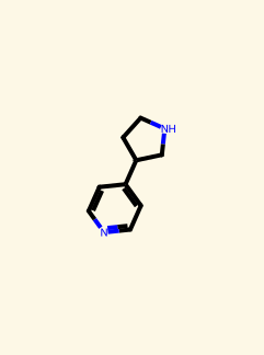 c1cc([C]2CCNC2)ccn1